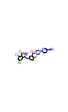 N#Cc1ccc(N2CCN(C(=O)c3cc(Cc4n[nH]c(=O)c5c(Cl)cc(Br)cc45)ccc3F)CC2)nc1